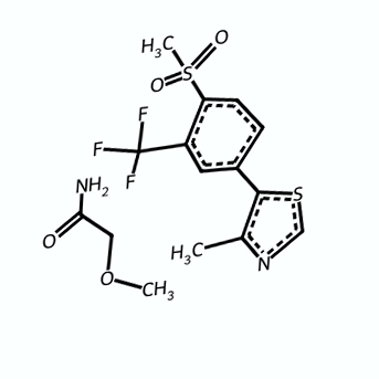 COCC(N)=O.Cc1ncsc1-c1ccc(S(C)(=O)=O)c(C(F)(F)F)c1